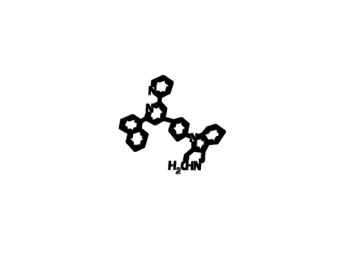 C=Cc1c(C=N)c2ccccc2n1-c1ccc(-c2cc(-c3ccccn3)nc(-c3cccc4ccccc34)c2)cc1